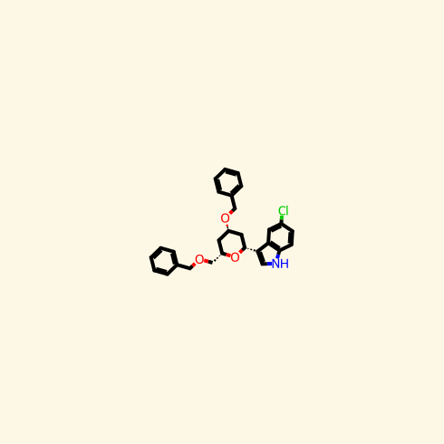 Clc1ccc2[nH]cc([C@H]3C[C@@H](OCc4ccccc4)C[C@@H](COCc4ccccc4)O3)c2c1